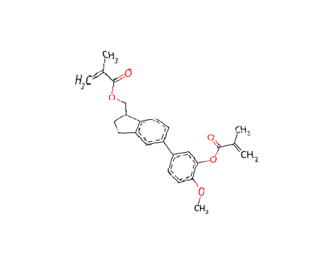 C=C(C)C(=O)OCC1CCc2cc(-c3ccc(OC)c(OC(=O)C(=C)C)c3)ccc21